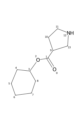 O=C(OC1CCCCC1)C1CCNC1